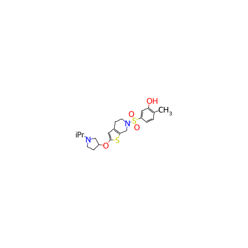 Cc1ccc(S(=O)(=O)N2CCc3cc(OC4CCN(C(C)C)C4)sc3C2)cc1O